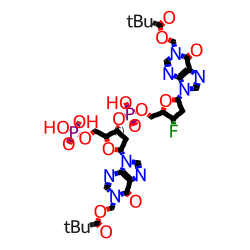 CC(C)(C)C(=O)OCn1cnc2c(ncn2C2CC(F)C(COP(=O)(O)O[C@H]3CC(n4cnc5c(=O)n(COC(=O)C(C)(C)C)cnc54)OC3COP(=O)(O)O)O2)c1=O